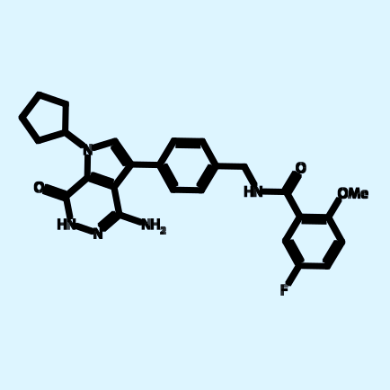 COc1ccc(F)cc1C(=O)NCc1ccc(-c2cn(C3CCCC3)c3c(=O)[nH]nc(N)c23)cc1